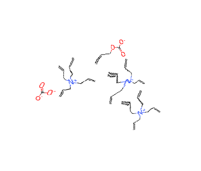 C=CCOC(=O)[O-].C=CC[N+](CC=C)(CC=C)CC=C.C=CC[N+](CC=C)(CC=C)CC=C.C=CC[N+](CC=C)(CC=C)CC=C.O=C([O-])[O-]